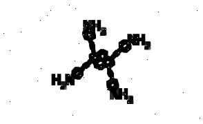 Nc1ccc(C#Cc2cc(C#Cc3ccc(N)cc3)c3ccc4c(C#Cc5ccc(N)cc5)cc(C#Cc5ccc(N)cc5)c5ccc2c3c54)cc1